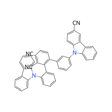 N#Cc1ccc2c(c1)c1ccccc1n2-c1cccc(-c2ccc(C#N)c(C#N)c2-c2ccccc2-n2c3ccccc3c3ccccc32)c1